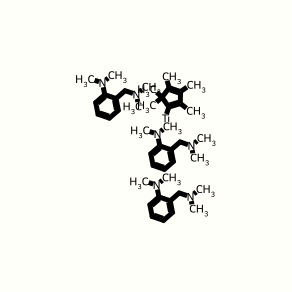 CC1=C(C)C(C)(C)[C]([Ti])=C1C.CN(C)Cc1ccccc1N(C)C.CN(C)Cc1ccccc1N(C)C.CN(C)Cc1ccccc1N(C)C